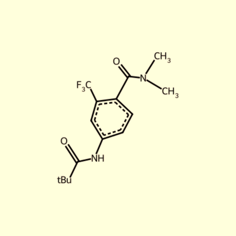 CN(C)C(=O)c1ccc(NC(=O)C(C)(C)C)cc1C(F)(F)F